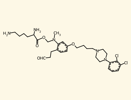 CN(COC(=O)C(N)CCCCN)c1cc(OCCCCN2CCN(c3cccc(Cl)c3Cl)CC2)ccc1CCC=O